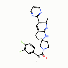 Cc1nc2c(cc1-c1ncccn1)CC[C@@]1(CCN(C(=O)[C@H](C)c3ccc(F)c(F)c3)C1)N2